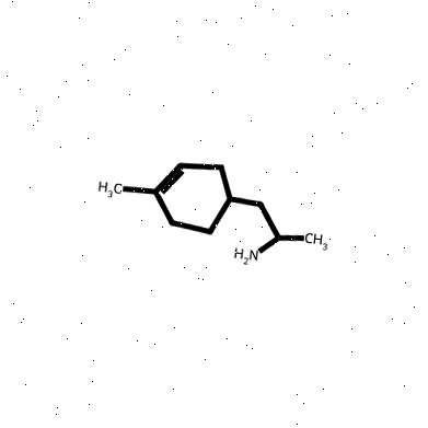 CC1=CCC(CC(C)N)CC1